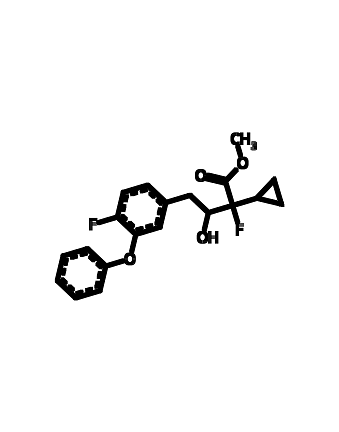 COC(=O)C(F)(C(O)Cc1ccc(F)c(Oc2ccccc2)c1)C1CC1